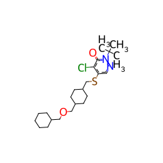 CC(C)(C)n1ncc(SCC2CCC(COCC3CCCCC3)CC2)c(Cl)c1=O